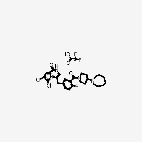 O=C(O)C(F)(F)F.O=C(c1cc(Cc2c[nH]c(=O)c3cc(Cl)c(Cl)n23)ccc1F)N1CCC(N2CCCCCCC2)CC1